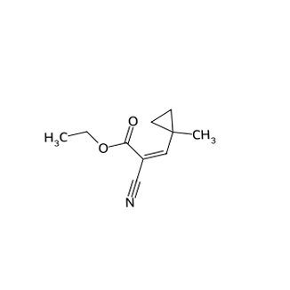 CCOC(=O)C(C#N)=CC1(C)CC1